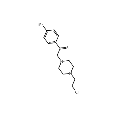 CC(C)c1ccc(C(=S)CN2CCN(CCCl)CC2)cc1